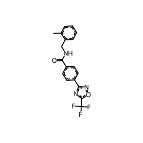 Cc1ccccc1CNC(=O)c1ccc(-c2noc(C(F)(F)F)n2)cc1